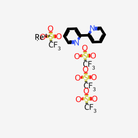 O=S(=O)([O-])C(F)(F)F.O=S(=O)([O-])C(F)(F)F.O=S(=O)([O-])C(F)(F)F.O=S(=O)([O-])C(F)(F)F.[Re+4].c1ccc(-c2ccccn2)nc1